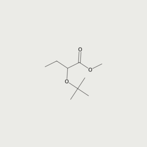 CCC(OC(C)(C)C)C(=O)OC